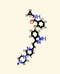 CN1CCN(c2ccc(/C=C/c3n[nH]c4cc(Sc5ccccc5C(=O)NC5CC5)ccc34)nc2)CC1